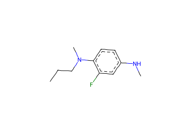 CCCN(C)c1ccc(NC)cc1F